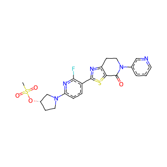 CS(=O)(=O)O[C@H]1CCN(c2ccc(-c3nc4c(s3)C(=O)N(c3cccnc3)CC4)c(F)n2)C1